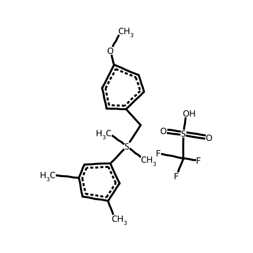 COc1ccc(CS(C)(C)c2cc(C)cc(C)c2)cc1.O=S(=O)(O)C(F)(F)F